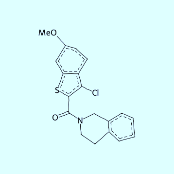 COc1ccc2c(Cl)c(C(=O)N3CCc4ccccc4C3)sc2c1